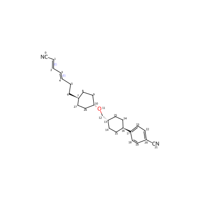 N#C/C=C/C=C/CC[C@H]1CC[C@H](OC[C@H]2CC[C@H](c3ccc(C#N)cc3)CC2)CC1